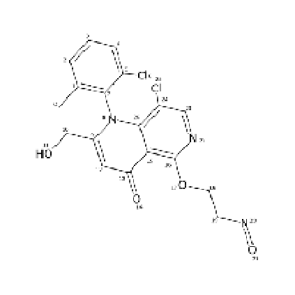 Cc1cccc(Cl)c1-n1c(CO)cc(=O)c2c(OCCN=O)ncc(Cl)c21